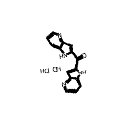 Cl.Cl.O=C(c1cc2ncccc2[nH]1)c1cc2ncccc2[nH]1